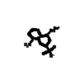 Nc1cccc2c(O)cc(S(=O)(=O)[O-])cc12.[Na+]